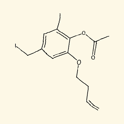 C=CCCOc1cc(CI)cc(C)c1OC(C)=O